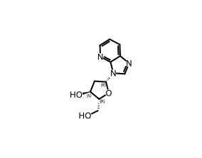 OC[C@H]1O[C@@H](n2cnc3cccnc32)C[C@@H]1O